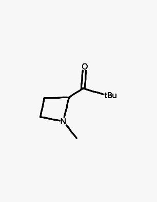 CN1CCC1C(=O)C(C)(C)C